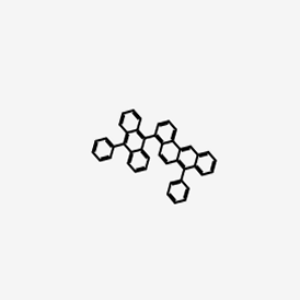 c1ccc(-c2c3ccccc3c(-c3cccc4c3ccc3c(-c5ccccc5)c5ccccc5cc34)c3ccccc23)cc1